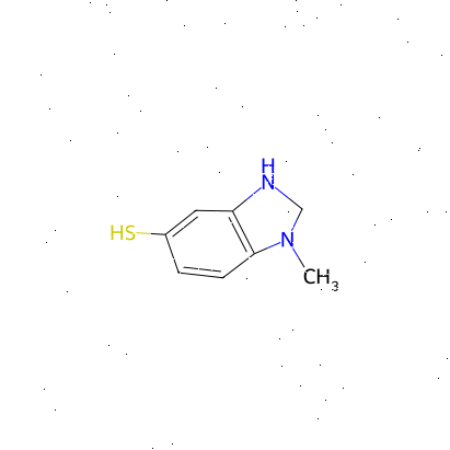 CN1CNc2cc(S)ccc21